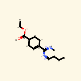 CCC/C=N\C(=N/C)C1=CCC(C(=O)OCC)CC1